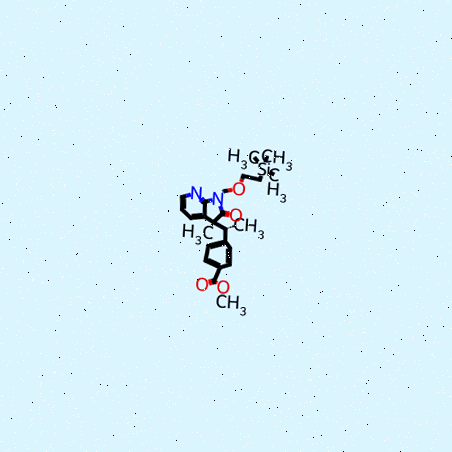 COC(=O)c1ccc([C@@H](C)[C@]2(C)C(=O)N(COCC[Si](C)(C)C)c3ncccc32)cc1